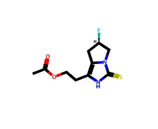 CC(=O)OCCc1[nH]c(=S)n2c1C[C@@H](F)C2